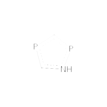 c1[nH]pcp1